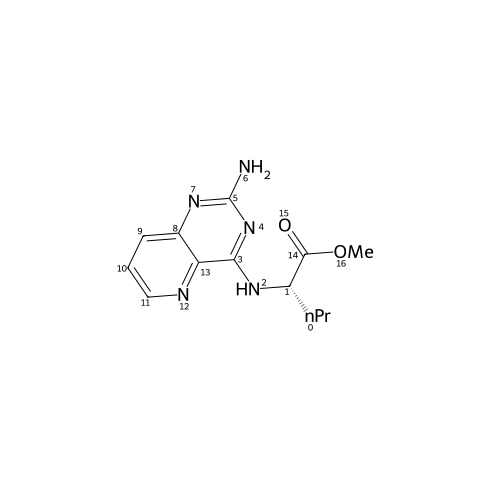 CCC[C@H](Nc1nc(N)nc2cccnc12)C(=O)OC